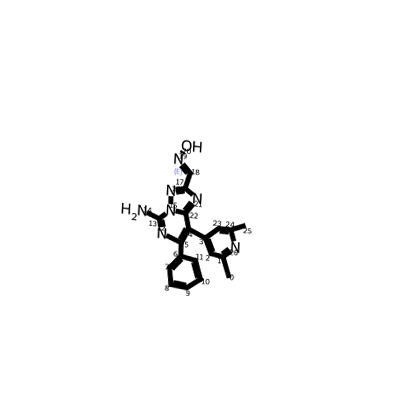 Cc1cc(-c2c(-c3ccccc3)nc(N)n3nc(/C=N/O)nc23)cc(C)n1